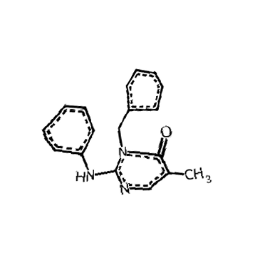 Cc1cnc(Nc2ccccc2)n(Cc2ccccc2)c1=O